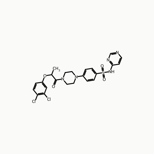 CC(Oc1ccc(Cl)c(Cl)c1)C(=O)N1CCN(c2ccc(S(=O)(=O)Nc3ccncn3)cc2)CC1